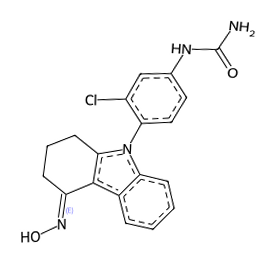 NC(=O)Nc1ccc(-n2c3c(c4ccccc42)/C(=N/O)CCC3)c(Cl)c1